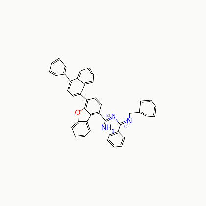 N/C(=N\C(=N/Cc1ccccc1)c1ccccc1)c1ccc(-c2ccc(-c3ccccc3)c3ccccc23)c2oc3ccccc3c12